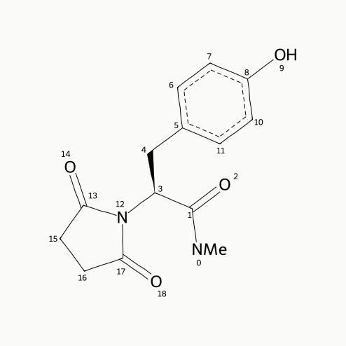 CNC(=O)[C@H](Cc1ccc(O)cc1)N1C(=O)CCC1=O